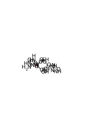 NC1NC(=O)[C@@H]2NCN(C3=C4OP(=O)(S)OCc5oc(-n6nnc7c(=O)[nH]cnc76)c(F)c5OP(=O)(O)O/C=C(/O3)[C@H]4F)C2N1